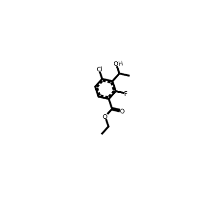 CCOC(=O)c1ccc(Cl)c(C(C)O)c1F